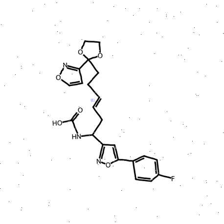 O=C(O)NC(C/C=C/CCC1(c2ccon2)OCCO1)c1cc(-c2ccc(F)cc2)on1